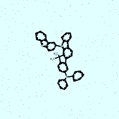 CC1(C)c2ccc(N(c3ccccc3)c3ccccc3)cc2-c2ccc3c4ccccc4n(-c4ccc5oc6ccccc6c5c4)c3c21